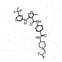 Cc1nsc(Nc2cncc(C(F)(F)F)n2)c1C(=O)Nc1ccc(C(=O)NC2CCN(CC(F)F)CC2)cc1